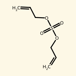 C=CCOS(=O)(=O)OCC=C